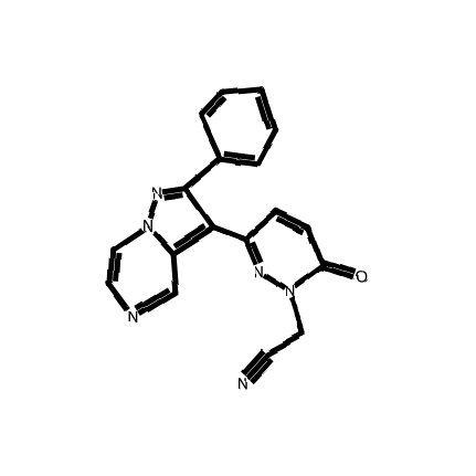 N#CCn1nc(-c2c(-c3ccccc3)nn3ccncc23)ccc1=O